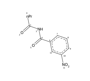 CCCC(=O)NC(=O)c1cccc([N+](=O)[O-])c1